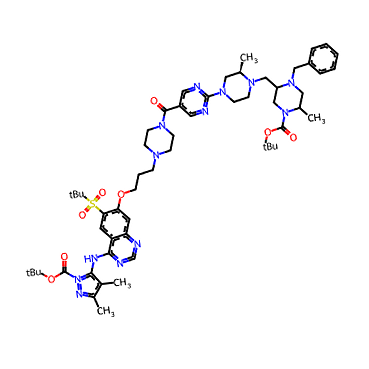 Cc1nn(C(=O)OC(C)(C)C)c(Nc2ncnc3cc(OCCCN4CCN(C(=O)c5cnc(N6CCN(CC7CN(C(=O)OC(C)(C)C)C(C)CN7Cc7ccccc7)[C@H](C)C6)nc5)CC4)c(S(=O)(=O)C(C)(C)C)cc23)c1C